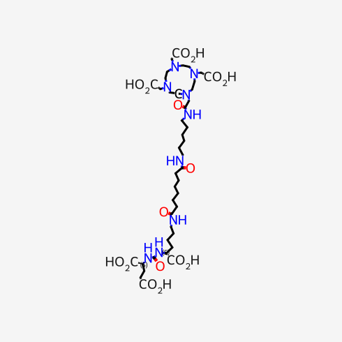 O=C(O)CC[C@H](NC(=O)N[C@@H](CCCCNC(=O)CCCCCCC(=O)NCCCCCCNC(=O)CN1CCN(CC(=O)O)CCN(CC(=O)O)CCN(CC(=O)O)CC1)C(=O)O)C(=O)O